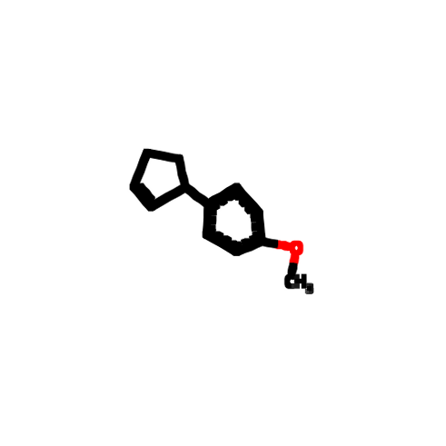 COc1ccc(C2C=CCC2)cc1